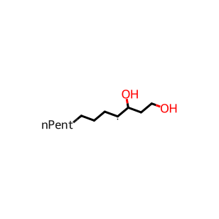 CCCCCCCC[CH]C(O)CCO